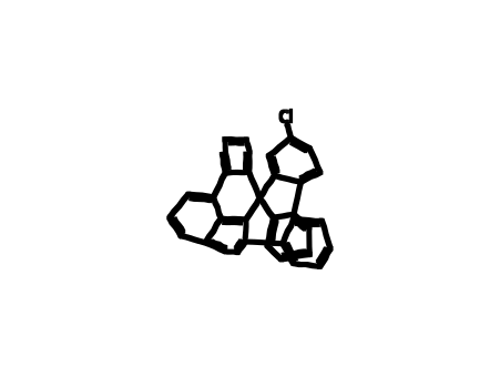 Clc1ccc2c(c1)C1(c3ccccc3-2)c2ccccc2-c2cccc3ccc(-c4ccccc4)c1c23